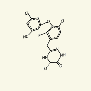 CC[C@@H]1NC(Cc2ccc(Cl)c(Oc3cc(Cl)cc(C#N)c3)c2F)=NNC1=O